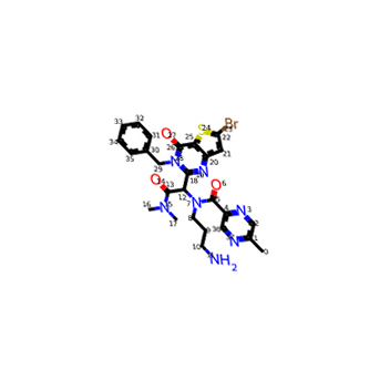 Cc1cnc(C(=O)N(CCCN)C(C(=O)N(C)C)c2nc3cc(Br)sc3c(=O)n2Cc2ccccc2)cn1